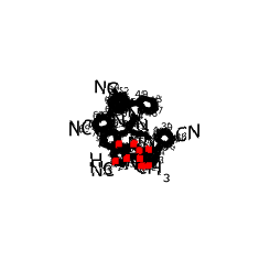 Cc1ccc(-c2ccccc2-c2c(-n3c4ccccc4c4cc(C#N)ccc43)c(-n3c4ccccc4c4cc(C#N)ccc43)nc(-n3c4ccccc4c4cc(C#N)ccc43)c2-n2c3ccccc3c3cc(C#N)ccc32)c(C)n1